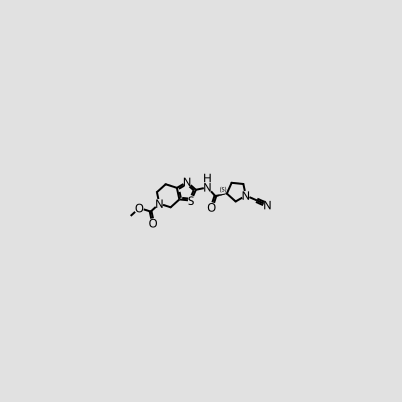 COC(=O)N1CCc2nc(NC(=O)[C@H]3CCN(C#N)C3)sc2C1